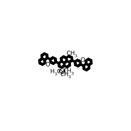 Cc1cc(-c2ccc3c(c2)Oc2cccc4cccc-3c24)c2ccc3c([Si](C)(C)C)cc(-c4ccc5c(c4)Oc4cccc6cccc-5c46)c4ccc1c2c43